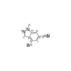 Cn1ncc2c(Br)cc(C#N)cc21